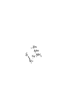 [AlH3].[Fe].[Mn].[Zn].[Zr][Mo]